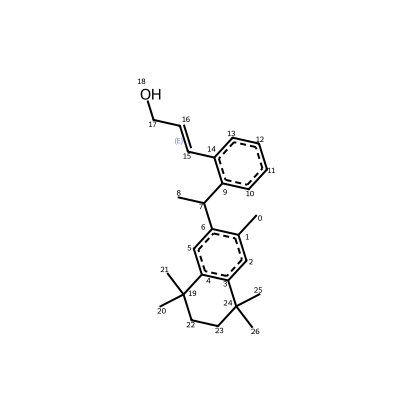 Cc1cc2c(cc1C(C)c1ccccc1/C=C/CO)C(C)(C)CCC2(C)C